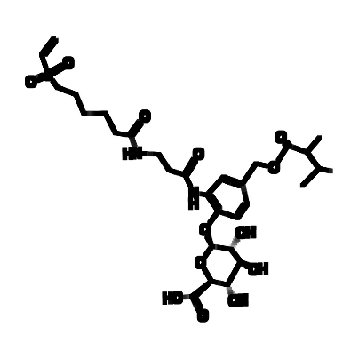 C=CS(=O)(=O)CCCCCC(=O)NCCC(=O)Nc1cc(COC(=O)C(C)C(C)C)ccc1O[C@@H]1O[C@H](C(=O)O)[C@@H](O)[C@H](O)[C@H]1O